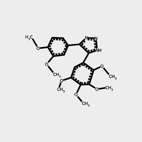 COc1ccc(-c2nn[nH]c2-c2cc(OC)c(OC)c(OC)c2OC)cc1OC